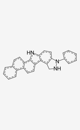 c1ccc(N2NCc3c2ccc2[nH]c4c5ccc6ccccc6c5ccc4c32)cc1